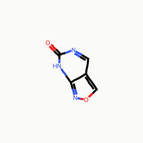 O=c1ncc2conc2[nH]1